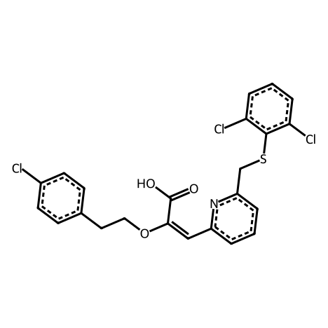 O=C(O)/C(=C\c1cccc(CSc2c(Cl)cccc2Cl)n1)OCCc1ccc(Cl)cc1